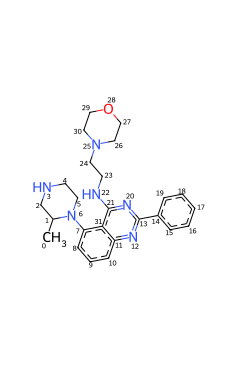 CC1CNCCN1c1cccc2nc(-c3ccccc3)nc(NCCN3CCOCC3)c12